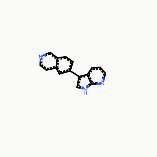 c1cnc2[nH]cc(-c3ccc4cnccc4c3)c2c1